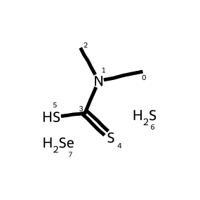 CN(C)C(=S)S.S.[SeH2]